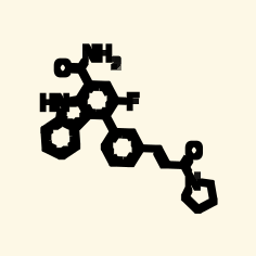 NC(=O)c1cc(F)c(-c2cccc(C=CC(=O)N3CCCC3)c2)c2c1[nH]c1ccccc12